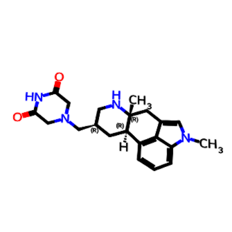 Cn1cc2c3c(cccc31)[C@H]1C[C@@H](CN3CC(=O)NC(=O)C3)CN[C@]1(C)C2